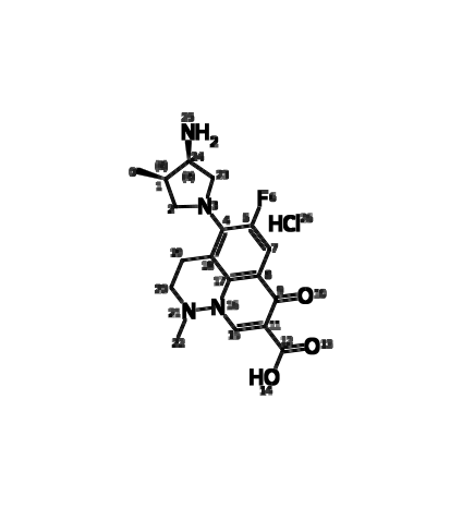 C[C@@H]1CN(c2c(F)cc3c(=O)c(C(=O)O)cn4c3c2CCN4C)C[C@@H]1N.Cl